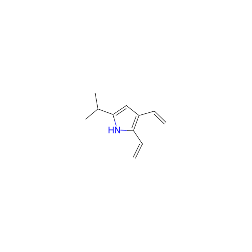 C=Cc1cc(C(C)C)[nH]c1C=C